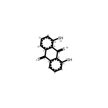 S=C1c2cccc(S)c2C(=S)c2c(S)cccc21